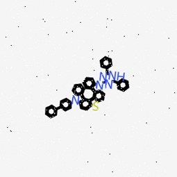 c1ccc(C2=NC(n3c4ccccc4c4c5c(ccc43)sc3ccc4c(c6ccccc6n4-c4ccc(-c6ccccc6)cc4)c35)=NC(c3ccccc3)N2)cc1